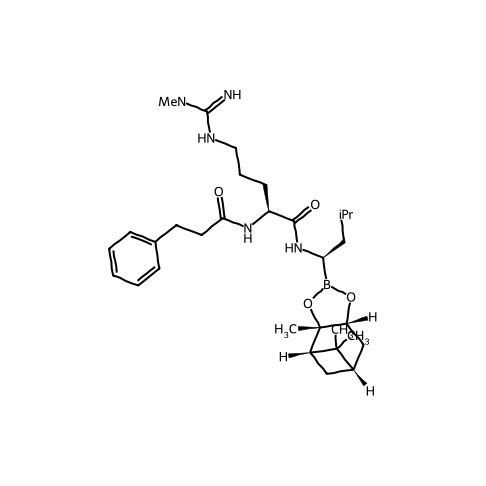 CNC(=N)NCCC[C@H](NC(=O)CCc1ccccc1)C(=O)N[C@@H](CC(C)C)B1O[C@@H]2C[C@@H]3C[C@@H](C3(C)C)[C@]2(C)O1